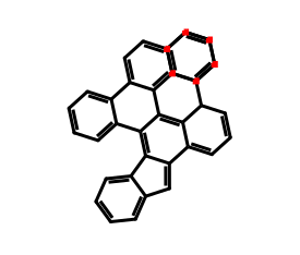 C1=CC(c2ccccc2)c2c(c3c(c4c5ccccc5c5ccc6ccccc6c5c24)-c2ccccc2C=3)=C1